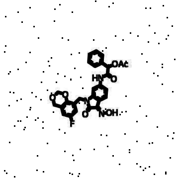 CC(=O)OC(C(=O)Nc1ccc2c(c1)N(Cc1cc(F)cc3c1OCOC3)C(=O)/C2=N/O)c1ccccc1